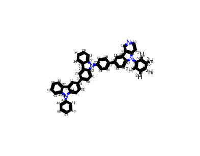 [2H]c1c([2H])c([2H])c(-n2c3ccncc3c3cc(-c4ccc(-n5c6ccccc6c6cc(-c7ccc8c(c7)c7ccccc7n8-c7ccccc7)ccc65)cc4)ccc32)c([2H])c1[2H]